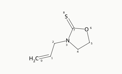 C=CCN1CCOC1=S